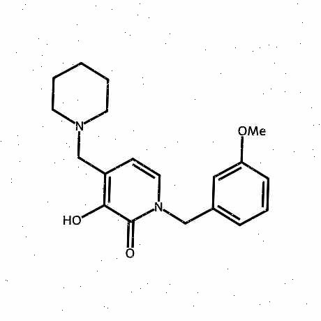 COc1cccc(Cn2ccc(CN3CCCCC3)c(O)c2=O)c1